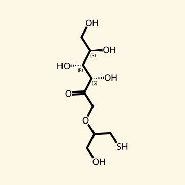 O=C(COC(CO)CS)[C@@H](O)[C@H](O)[C@H](O)CO